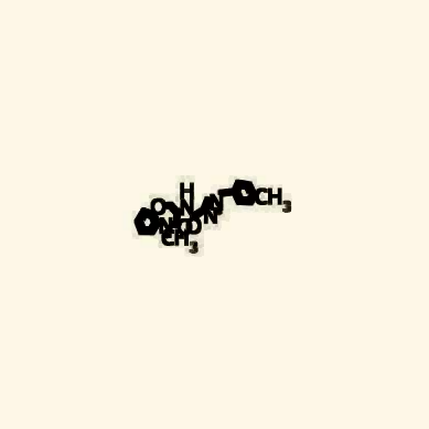 Cc1ccc(Cn2cnc(C(=O)NC3COc4ccccc4N(C)C3=O)c2)cc1